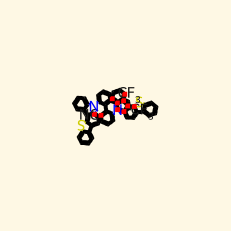 N#Cc1cccc(-n2c3ccccc3c3c4sc5ccccc5c4ccc32)c1-c1c(-c2ccc(C(F)(F)F)cc2C(F)(F)F)cccc1-n1c2ccccc2c2c3sc4ccccc4c3ccc21